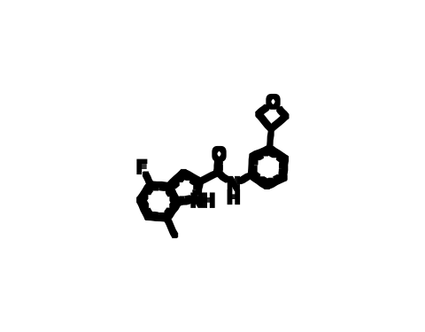 Cc1ccc(F)c2cc(C(=O)Nc3cccc(C4COC4)c3)[nH]c12